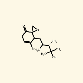 CC(CC1C(Br)=CCC(=O)[C@@]12CO2)[C@H](C)C(C)(C)O